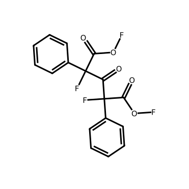 O=C(OF)C(F)(C(=O)C(F)(C(=O)OF)c1ccccc1)c1ccccc1